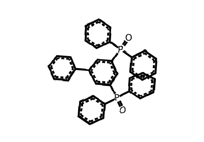 O=P(c1ccccc1)(c1ccccc1)c1cc(-c2ccccc2)cc(P(=O)(c2ccccc2)c2ccccc2)c1